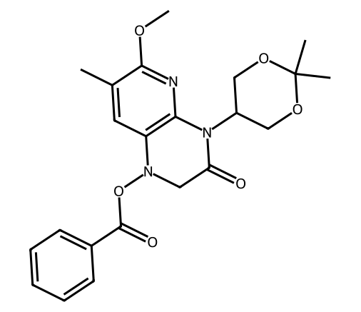 COc1nc2c(cc1C)N(OC(=O)c1ccccc1)CC(=O)N2C1COC(C)(C)OC1